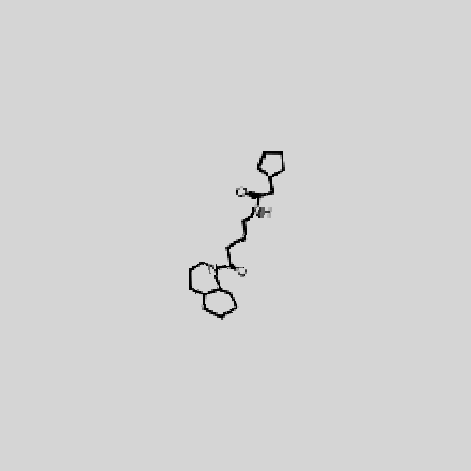 O=C(CC1CCCC1)NCCCC(=O)N1CCCC2CCCCC21